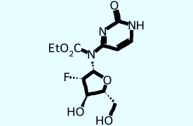 CCOC(=O)N(c1cc[nH]c(=O)n1)[C@@H]1O[C@H](CO)[C@@H](O)[C@@H]1F